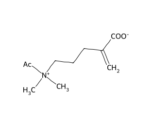 C=C(CCC[N+](C)(C)C(C)=O)C(=O)[O-]